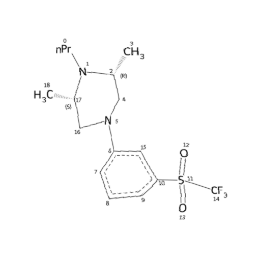 CCCN1[C@H](C)CN(c2cccc(S(=O)(=O)C(F)(F)F)c2)C[C@@H]1C